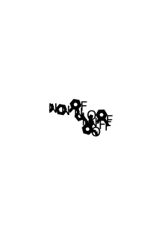 COc1cccc2c1n(Cc1ccccc1C(F)(F)F)c(=O)n2C1CCN(c2c(F)cccc2CN2CCC(N(C)C)CC2)C1